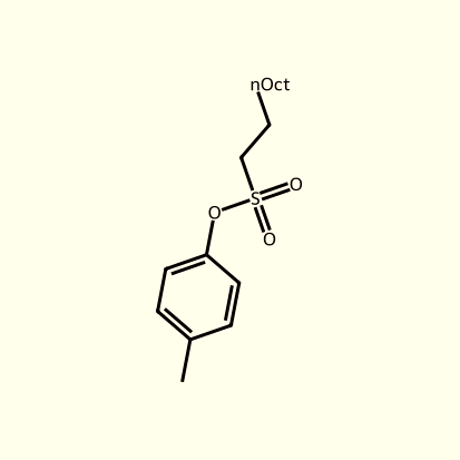 CCCCCCCCCCS(=O)(=O)Oc1ccc(C)cc1